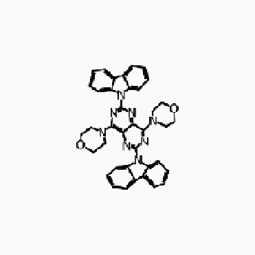 c1ccc2c(c1)c1ccccc1n2-c1nc(N2CCOCC2)c2nc(-n3c4ccccc4c4ccccc43)nc(N3CCOCC3)c2n1